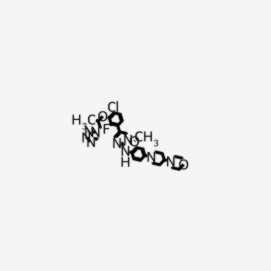 COc1cc(N2CCC(N3CCOCC3)CC2)ccc1Nc1ncc(-c2ccc(Cl)c(OC(C)Cn3cnnn3)c2F)cn1